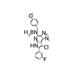 BN(Cc1ccc(OC)cc1)c1nc2[nH]c(-c3cccc(F)c3)c(Cl)c2c2c1ncn2C